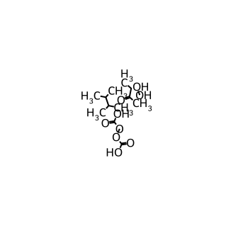 CC(C)C(C)C.CCC(C)=O.O=C(O)OOC(=O)O.OO